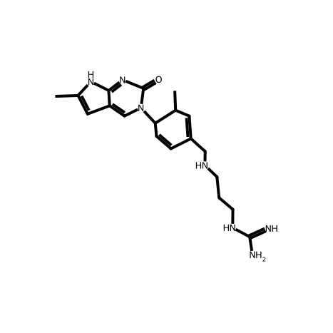 Cc1cc2cn(C3C=CC(CNCCCNC(=N)N)=CC3C)c(=O)nc2[nH]1